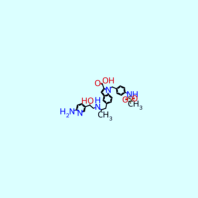 CC(Cc1ccc2c(c1)cc(C(=O)O)n2Cc1ccc(NS(C)(=O)=O)cc1)NCC(O)c1ccc(N)nc1